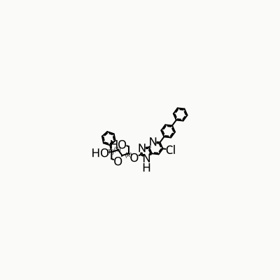 O[C@]1(c2ccccc2)COC2[C@H](Oc3nc4nc(-c5ccc(-c6ccccc6)cc5)c(Cl)cc4[nH]3)CO[C@@H]21